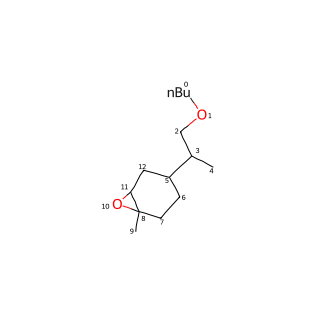 CCCCOCC(C)C1CCC2(C)OC2C1